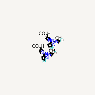 C[C@H]1[C@@H](F)CN1c1nc(N2CCC(CC(=O)O)C2)c2c(n1)C(F)(F)CC2.C[C@H]1[C@@H](F)CN1c1nc(N2CCC(CC(=O)O)C2)c2c(n1)C(F)(F)CC2